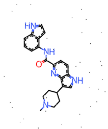 CN1CCC(c2c[nH]c3ccc(C(=O)Nc4cccc5[nH]ccc45)nc23)CC1